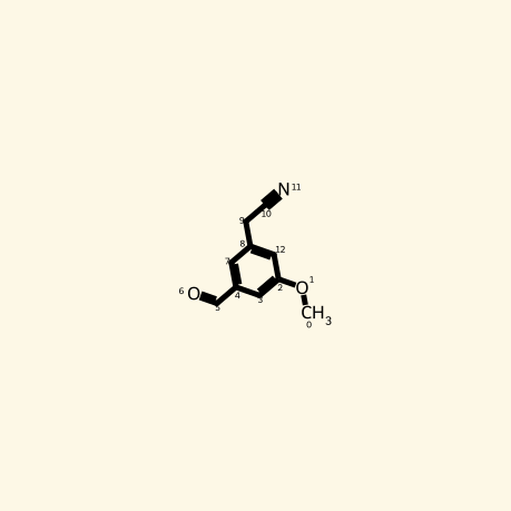 COc1cc(C=O)cc(CC#N)c1